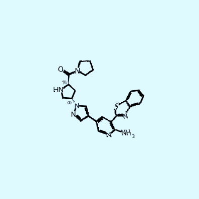 Nc1ncc(-c2cnn([C@@H]3CN[C@@H](C(=O)N4CCCC4)C3)c2)cc1-c1nc2ccccc2s1